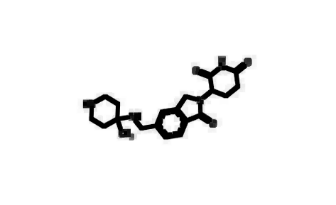 CC1(NCc2ccc3c(c2)CN(C2CCC(=O)NC2=O)C3=O)CCNCC1